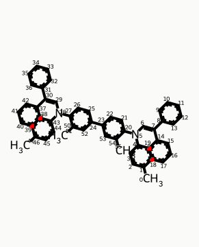 Cc1ccc(N(C=C(c2ccccc2)c2ccccc2)c2ccc(-c3ccc(N(C=C(c4ccccc4)c4ccccc4)c4ccc(C)cc4)c(C)c3)cc2C)cc1